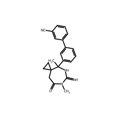 CN1C(=N)NC(C)(c2cccc(-c3cccc(C#N)c3)c2)C2(CC2)CC1=O